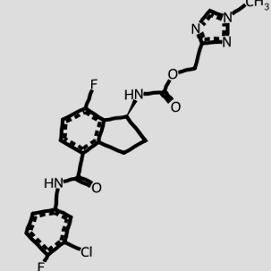 Cn1cnc(COC(=O)N[C@H]2CCc3c(C(=O)Nc4ccc(F)c(Cl)c4)ccc(F)c32)n1